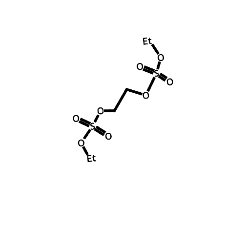 CCOS(=O)(=O)OCCOS(=O)(=O)OCC